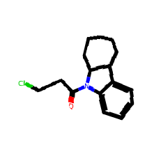 O=C(CCCl)N1c2ccccc2C2CCCCC21